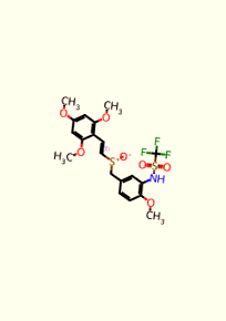 COc1cc(OC)c(/C=C/[S+]([O-])Cc2ccc(OC)c(NS(=O)(=O)C(F)(F)F)c2)c(OC)c1